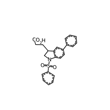 O=C(O)CCC1CN(S(=O)(=O)c2ccccc2)c2ccc(-c3ccccc3)cc21